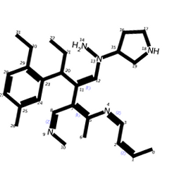 C/C=C\C=N/C(C)=C(/C=N\C)C(=C\N(N)C1CCNC1)\C(CC)c1cc(C)ccc1CC